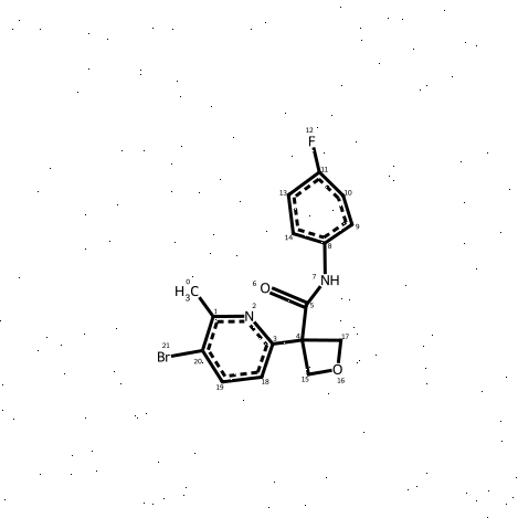 Cc1nc(C2(C(=O)Nc3ccc(F)cc3)COC2)ccc1Br